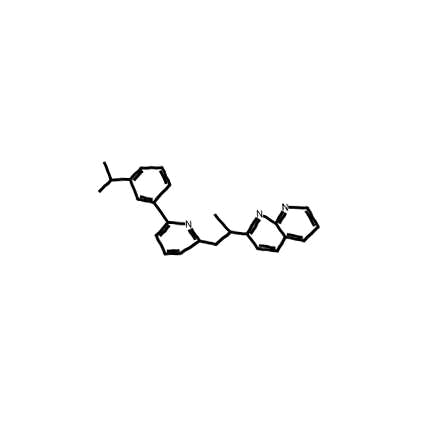 CC(C)c1cccc(-c2cccc(CC(C)c3ccc4cccnc4n3)n2)c1